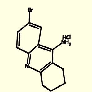 Cl.Nc1c2c(nc3ccc(Br)cc13)CCCC2